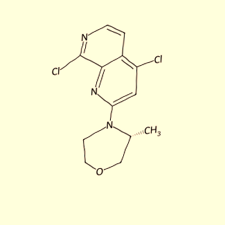 C[C@@H]1COCCN1c1cc(Cl)c2ccnc(Cl)c2n1